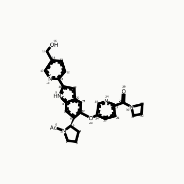 CC(=O)N1CCC[C@@H]1c1cc2[nH]c(-c3ccc(CO)cn3)cc2cc1Oc1ccc(C(=O)N2CCC2)nc1